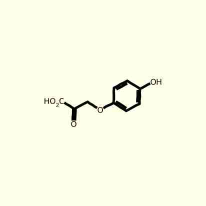 O=C(O)C(=O)COc1ccc(O)cc1